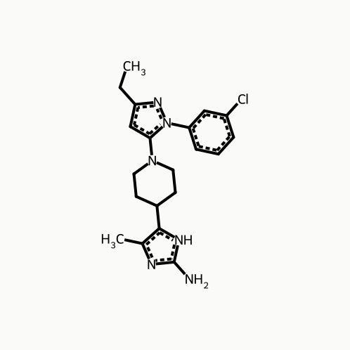 CCc1cc(N2CCC(c3[nH]c(N)nc3C)CC2)n(-c2cccc(Cl)c2)n1